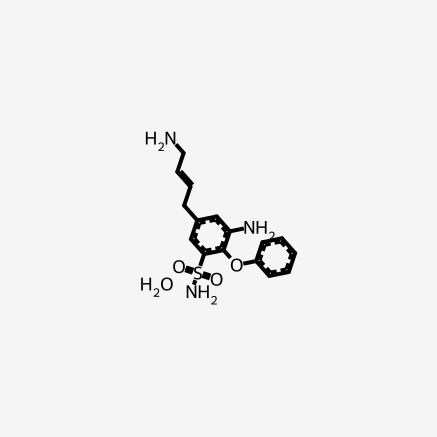 NCC=CCc1cc(N)c(Oc2ccccc2)c(S(N)(=O)=O)c1.O